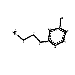 Cc1cccc(CCCC#N)c1